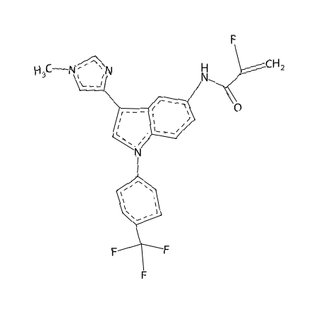 C=C(F)C(=O)Nc1ccc2c(c1)c(-c1cn(C)cn1)cn2-c1ccc(C(F)(F)F)cc1